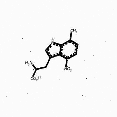 Cc1ccc([N+](=O)[O-])c2c(CC(N)C(=O)O)c[nH]c12